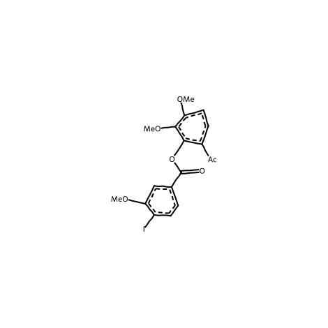 COc1cc(C(=O)Oc2c(C(C)=O)ccc(OC)c2OC)ccc1I